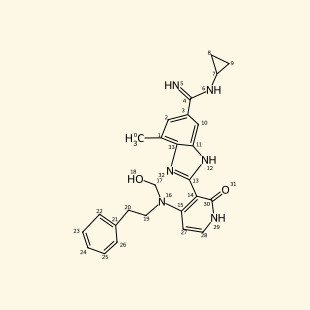 Cc1cc(C(=N)NC2CC2)cc2[nH]c(-c3c(N(CO)CCc4ccccc4)cc[nH]c3=O)nc12